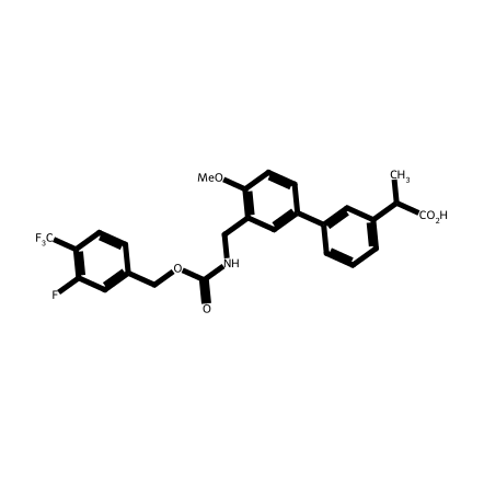 COc1ccc(-c2cccc(C(C)C(=O)O)c2)cc1CNC(=O)OCc1ccc(C(F)(F)F)c(F)c1